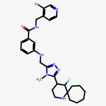 CCc1cnccc1CNC(=O)c1cccc(NCc2nnc(C3CCNC4(CCCCCC4)C3F)n2C)c1